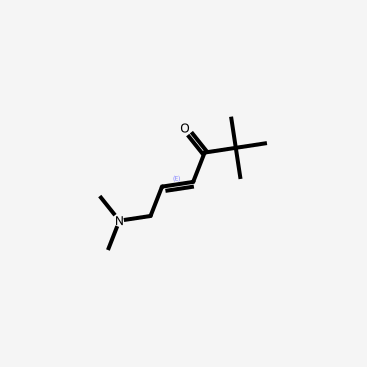 CN(C)C/C=C/C(=O)C(C)(C)C